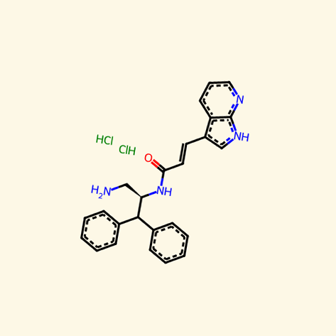 Cl.Cl.NC[C@@H](NC(=O)/C=C/c1c[nH]c2ncccc12)C(c1ccccc1)c1ccccc1